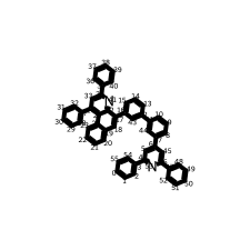 c1ccc(-c2cc(-c3cccc(-c4cccc(-c5cc6ccccc6c6c(-c7ccccc7)cc(-c7ccccc7)nc56)c4)c3)cc(-c3ccccc3)n2)cc1